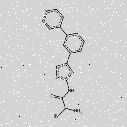 CC(C)C(N)C(=O)Nc1nc(-c2cccc(-c3ccncc3)c2)cs1